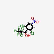 O=[N+]([O-])c1cc(Cl)c(C(O)C(Cl)(Cl)C(F)(F)F)c(Cl)c1